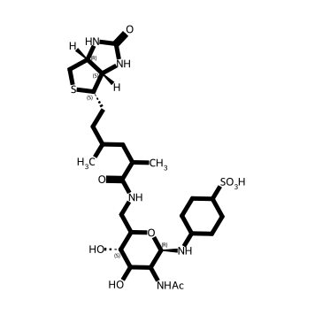 CC(=O)NC1C(O)[C@H](O)C(CNC(=O)C(C)CC(C)CC[C@@H]2SC[C@@H]3NC(=O)N[C@@H]32)O[C@H]1NC1CCC(S(=O)(=O)O)CC1